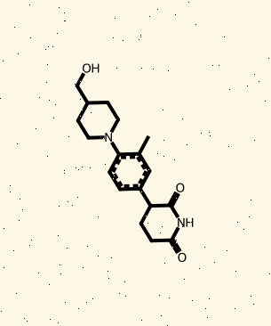 Cc1cc(C2CCC(=O)NC2=O)ccc1N1CCC(CO)CC1